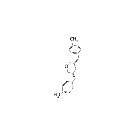 Cc1ccc(C=C2COCC(=Cc3ccc(C)cc3)C2)cc1